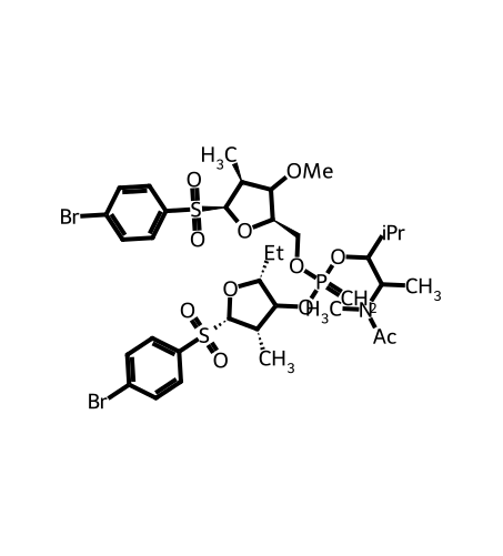 C=P(OC[C@H]1O[C@@H](S(=O)(=O)c2ccc(Br)cc2)[C@@H](C)C1OC)(OC(C(C)C)C(C)N(C)C(C)=O)OC1[C@@H](CC)O[C@@H](S(=O)(=O)c2ccc(Br)cc2)[C@H]1C